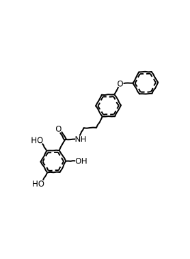 O=C(NCCc1ccc(Oc2ccccc2)cc1)c1c(O)cc(O)cc1O